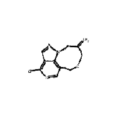 C=C1COCc2cnc(Cl)c3cnn(c23)C1